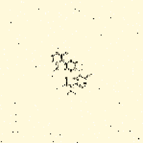 COc1cnn(C)c(=O)c1-c1ccc(CC(NC(=O)N(C(C)C)C(C)C)C(=O)O)cc1